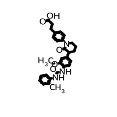 COc1cc(C2CCCN(c3ccc(CCC(=O)O)cc3)C2=O)ccc1NC(=O)Nc1ccccc1C